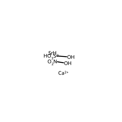 O=S(=O)(O)O.O=[N+]([O-])O.[Ca+2].[SrH2]